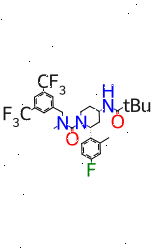 Cc1cc(F)ccc1[C@H]1C[C@@H](NC(=O)C(C)(C)C)CCN1C(=O)N(C)Cc1cc(C(F)(F)F)cc(C(F)(F)F)c1